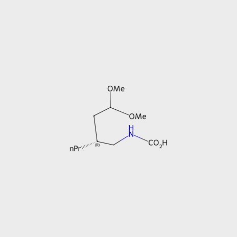 CCC[C@@H](CNC(=O)O)CC(OC)OC